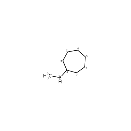 CBC1CCCCCC1